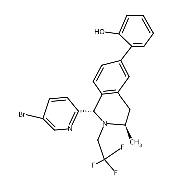 C[C@@H]1Cc2cc(-c3ccccc3O)ccc2[C@@H](c2ccc(Br)cn2)N1CC(F)(F)F